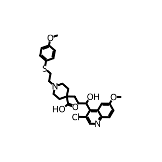 COc1ccc(SCCN2CCC(CCC(O)c3c(Cl)cnc4ccc(OC)cc34)(C(=O)O)CC2)cc1